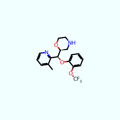 Cc1cccnc1[C@H](Oc1ccccc1OC(F)(F)F)[C@@H]1CNCCO1